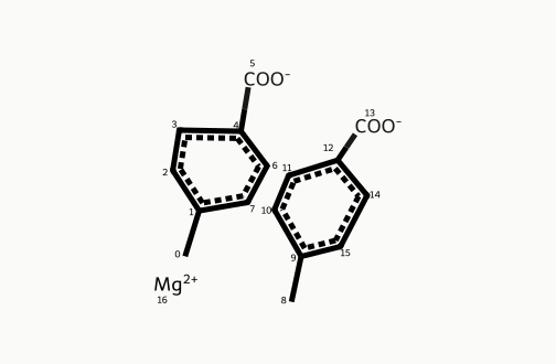 Cc1ccc(C(=O)[O-])cc1.Cc1ccc(C(=O)[O-])cc1.[Mg+2]